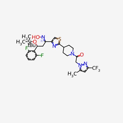 Cc1cc(C(F)(F)F)nn1CC(=O)N1CCC(c2nc(/C(CC(O[Si](C)(C)C(C)(C)C)c3c(F)cccc3F)=N/O)cs2)CC1